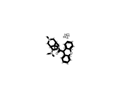 CN1CC2CC[C@@H](N(C)C)C(C1)[C@H]2OC(=O)C1c2ccccc2Oc2ccccc21.Cl.Cl